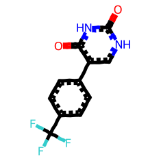 O=c1[nH]cc(-c2ccc(C(F)(F)F)cc2)c(=O)[nH]1